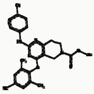 Cc1cc(C#N)cc(C)c1Oc1nc(Nc2ccc(C#N)cc2)nc2c1CN(C(=O)OC(C)(C)C)CC2